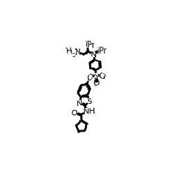 CC(C)C(CN)N(c1ccc(S(=O)(=O)Oc2ccc3nc(NC(=O)C4CCCC4)sc3c2)cc1)C(C)C